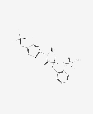 CC1(Cc2ccncc2NS(N)(=O)=O)NC(=O)N(c2ccc(SC(F)(F)F)cc2)C1=O